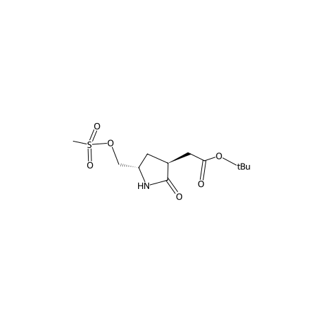 CC(C)(C)OC(=O)C[C@@H]1C[C@@H](COS(C)(=O)=O)NC1=O